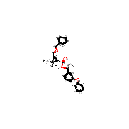 CC1(C)[C@H](C(=O)OC(C#N)c2cccc(Oc3ccccc3)c2)[C@@H]1COCc1ccccc1